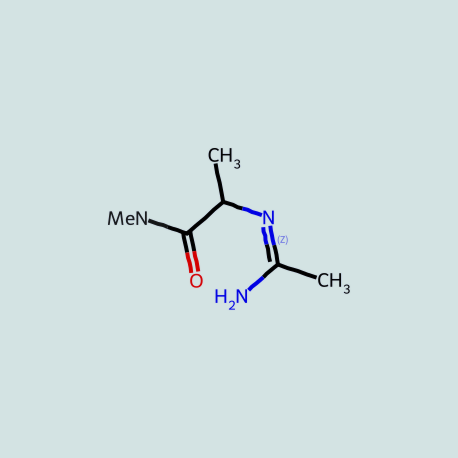 CNC(=O)C(C)/N=C(/C)N